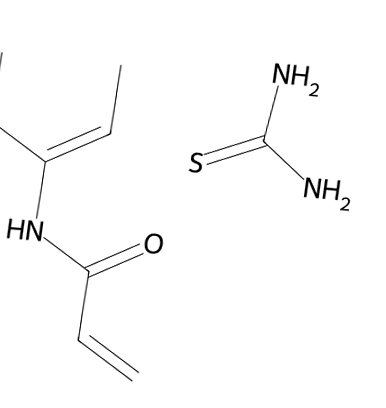 C=CC(=O)NC(=CC)CC.NC(N)=S